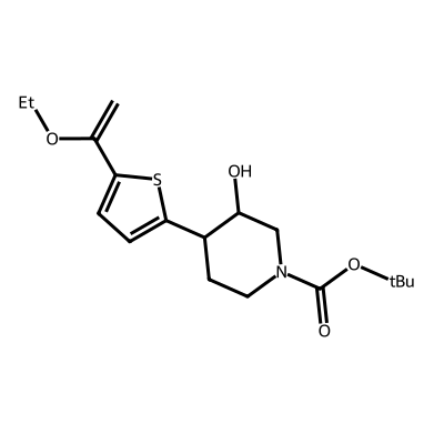 C=C(OCC)c1ccc(C2CCN(C(=O)OC(C)(C)C)CC2O)s1